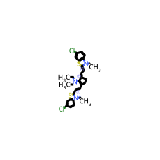 CCN(CC)C1=C(/C=C/c2sc3cc(Cl)ccc3[n+]2CC)CC/C1=C\C=C1/Sc2cc(Cl)ccc2N1CC